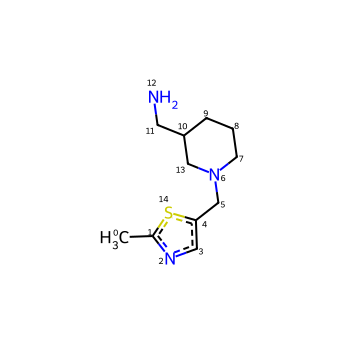 Cc1ncc(CN2CCCC(CN)C2)s1